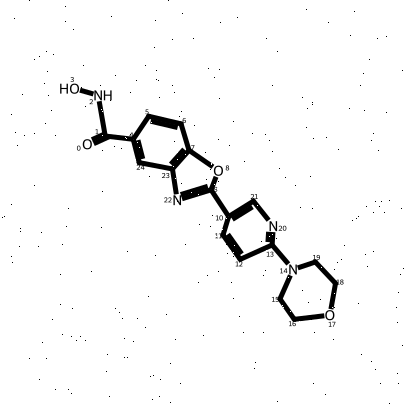 O=C(NO)c1ccc2oc(-c3ccc(N4CCOCC4)nc3)nc2c1